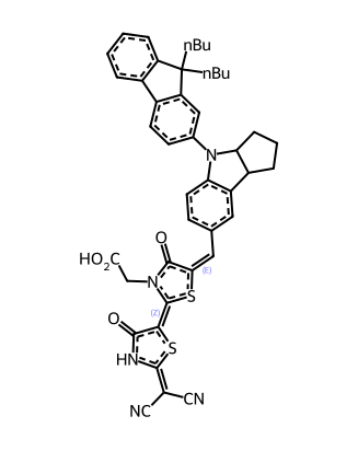 CCCCC1(CCCC)c2ccccc2-c2ccc(N3c4ccc(/C=c5/s/c(=c6\sc(=C(C#N)C#N)[nH]c6=O)n(CC(=O)O)c5=O)cc4C4CCCC43)cc21